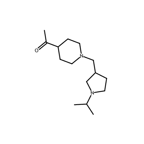 CC(=O)C1CCN(CC2CCN(C(C)C)C2)CC1